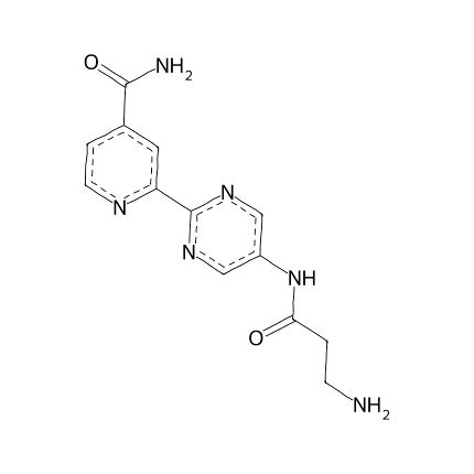 NCCC(=O)Nc1cnc(-c2cc(C(N)=O)ccn2)nc1